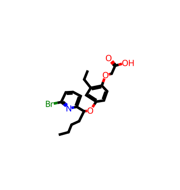 CCCCC(Oc1ccc(OCC(=O)O)c(CC)c1)c1cccc(Br)n1